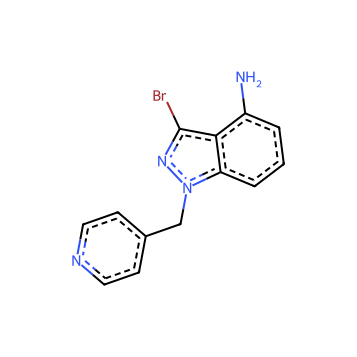 Nc1cccc2c1c(Br)nn2Cc1ccncc1